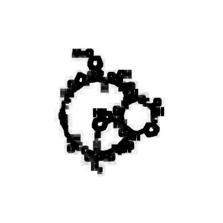 COc1ccc(C[C@@H]2NC(=O)[C@H]([C@@H](C)O)NC(=O)[C@@H]3[C@@H]4CCN3C(=O)[C@H](Cc3c[nH]c5ccc(F)cc35)NC(=O)C(Cc3cccc(c3)CNC(=O)CO4)NC(=O)[C@@H](C)NC(=O)[C@H](CN)NC(=O)CCC(=O)NCc3ccc(cc3)CCNC(=O)[C@]3(C)CCCN3C2=O)cc1